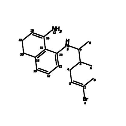 C/C(Br)=C\CC(C)C(C)Nc1cccc2c1C(N)=CCC2